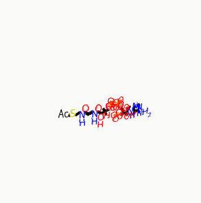 CC(=O)CSCCNC(=O)CCNC(=O)C(O)C(C)(C)COP(=O)(O)OP(=O)(O)OCC1OC(C)(n2cnc3c(N)ncnc32)C(O)C1OP(=O)(O)O